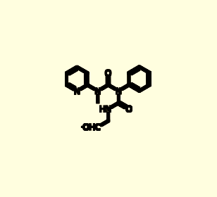 CN(C(=O)N(C(=O)NC[C]=O)c1ccccc1)c1ccccn1